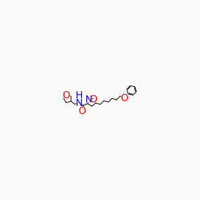 O=C(NCC1CCOC1)C1=NOC(CCCCCCOc2ccccc2)C1